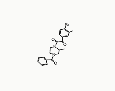 Cc1cc(C(=O)C(=O)N2CCN(C(=O)c3ccccc3)CC2C)ccc1Br